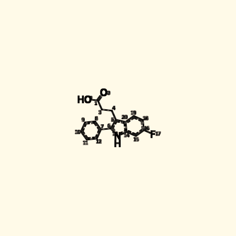 O=C(O)CCc1c(-c2ccccc2)[nH]c2cc(F)ccc12